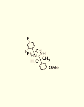 CC[C@](C)(NC(=N)C(C)(C)c1cccc(OC)c1)c1ccc(F)cc1F